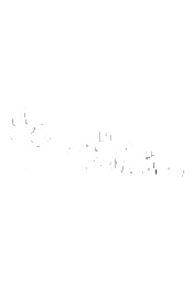 C[C@H](CS(=O)(=O)CC(F)(F)F)NC(=O)c1ccc(/C(F)=C/C(c2ccc(Cl)c(Cl)c2)C(F)(F)F)cc1Br